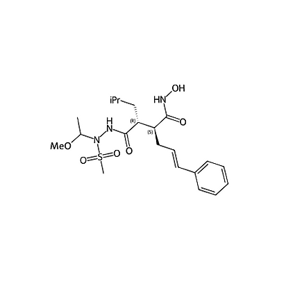 COC(C)N(NC(=O)[C@H](CC(C)C)[C@H](CC=Cc1ccccc1)C(=O)NO)S(C)(=O)=O